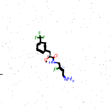 CO[C@@H](Cc1cccc(C(F)(F)F)c1)C(=O)NC/C(F)=C/CN